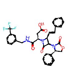 O=C(O)C[C@H](C(=O)NCc1cccc(C(F)(F)F)c1)N1C(=O)C(N2C(=O)OC[C@H]2c2ccccc2)C1C=Cc1ccccc1